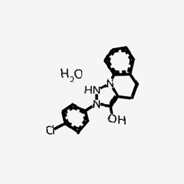 O.OC1=C2CCc3ccccc3N2NN1c1ccc(Cl)cc1